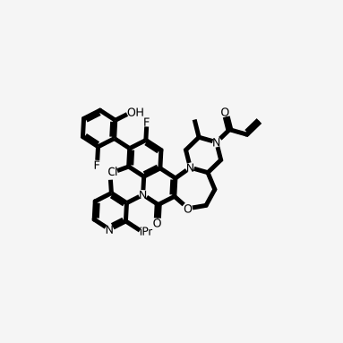 C=CC(=O)N1CC2CCOc3c(c4cc(F)c(-c5c(O)cccc5F)c(Cl)c4n(-c4c(C)ccnc4C(C)C)c3=O)N2CC1C